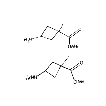 COC(=O)C1(C)CC(N)C1.COC(=O)C1(C)CC(NC(C)=O)C1